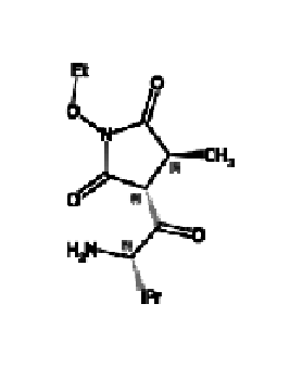 CCON1C(=O)[C@@H](C(=O)[C@@H](N)C(C)C)[C@H](C)C1=O